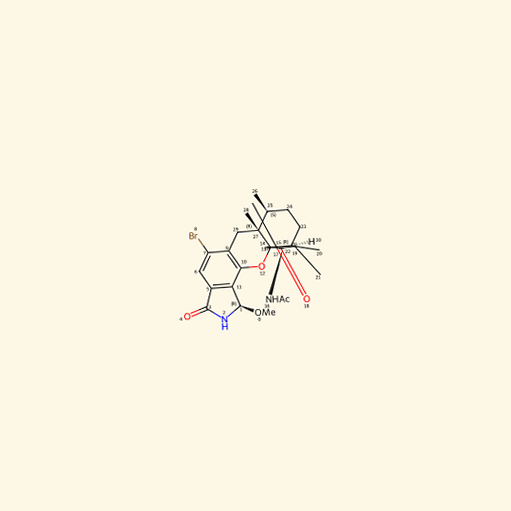 CO[C@H]1NC(=O)c2cc(Br)c3c(c21)O[C@@]12C[C@@H](NC(C)=O)C(=O)C(C)(C)[C@@H]1CC[C@H](C)[C@@]2(C)C3